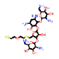 NCC1OC(OC2C(CSCCOCCS)OC(OC3C(O)C(N)CC(N)C3OC3OC(CN)C(O)C(O)C3N)C2O)C(N)C(O)C1O